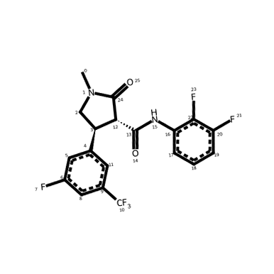 CN1C[C@H](c2cc(F)cc(C(F)(F)F)c2)[C@@H](C(=O)Nc2cccc(F)c2F)C1=O